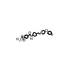 CS(=O)(=O)c1ccc(C(=O)NC2CCC(CCN3CCC(Oc4ccc(F)cc4)CC3)CC2)cc1